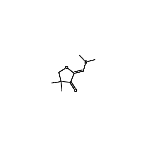 CN(C)/C=C1\OCC(C)(C)C1=O